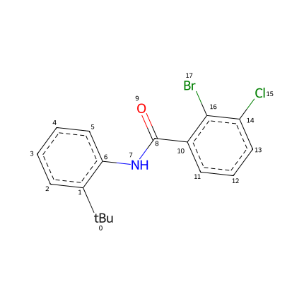 CC(C)(C)c1ccccc1NC(=O)c1cccc(Cl)c1Br